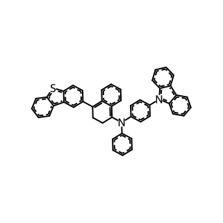 c1ccc(N(C2=c3ccccc3=C(c3ccc4sc5ccccc5c4c3)CC2)c2ccc(-n3c4ccccc4c4ccccc43)cc2)cc1